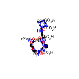 CCCCCC(=O)N[C@H]1CSSC[C@@H](C(=O)N[C@@H](CCCCNC(=O)CN2CCN(CC(=O)O)CCN(CC(=O)O)CCN(CC(=O)O)CC2)CC(=O)O)NC(=O)[C@H](Cc2ccccc2)NC(=O)[C@H](CCC(=O)O)NC(=O)[C@H]([C@@H](C)O)NC(=O)[C@@H]2CCCN2C(=O)[C@@H]2CCCN2C1=O